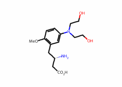 COc1ccc(N(CCO)CCO)cc1C[C@H](N)CC(=O)O